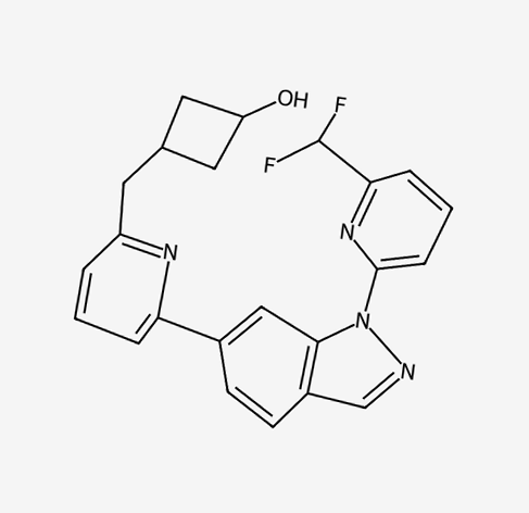 OC1CC(Cc2cccc(-c3ccc4cnn(-c5cccc(C(F)F)n5)c4c3)n2)C1